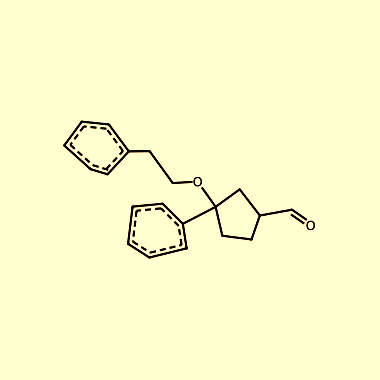 O=CC1CCC(OCCc2ccccc2)(c2ccccc2)C1